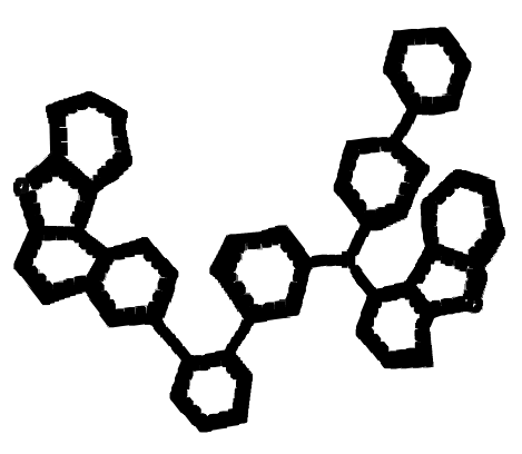 c1ccc(-c2ccc(N(c3cccc(-c4ccccc4-c4ccc5c(ccc6oc7ccccc7c65)c4)c3)c3cccc4oc5ccccc5c34)cc2)cc1